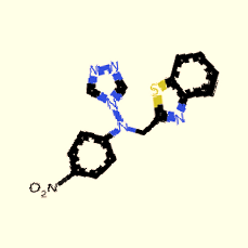 O=[N+]([O-])c1ccc(N(Cc2nc3ccccc3s2)n2cnnc2)cc1